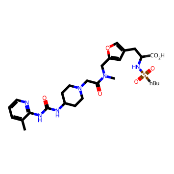 CCCCS(=O)(=O)NC(Cc1coc(CN(C)C(=O)CN2CCC(NC(=O)Nc3ncccc3C)CC2)c1)C(=O)O